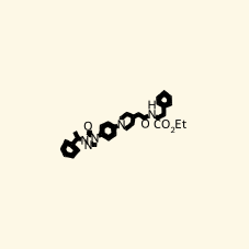 CCOC(=O)[C@@H](Cc1ccccc1)NC(=O)CC1CCN(c2ccc(-n3cnn(C(C)c4ccccc4)c3=O)cc2)CC1